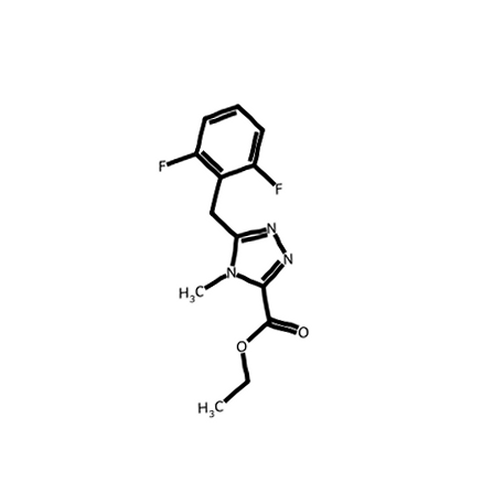 CCOC(=O)c1nnc(Cc2c(F)cccc2F)n1C